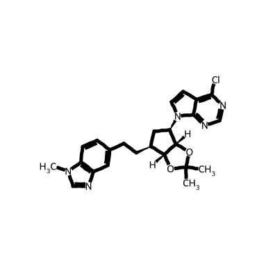 Cn1cnc2cc(CC[C@H]3C[C@@H](n4ccc5c(Cl)ncnc54)[C@@H]4OC(C)(C)O[C@H]34)ccc21